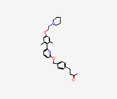 Cc1cc(OCCN2CCCCC2)cc(C)c1-c1cccc(OCc2ccc(CCC(=O)I)cc2)n1